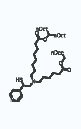 CCCCCCCCCCCOC(=O)CCCCCN(CCCCCCCC(=O)OC(CCCCCCCC)CCCCCCCC)CC(S)c1ccncc1